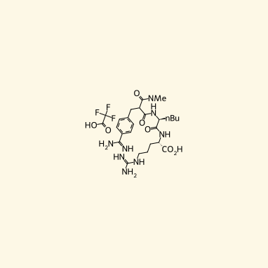 CCCC[C@H](NC(=O)C(Cc1ccc(C(=N)N)cc1)C(=O)NC)C(=O)N[C@@H](CCCNC(=N)N)C(=O)O.O=C(O)C(F)(F)F